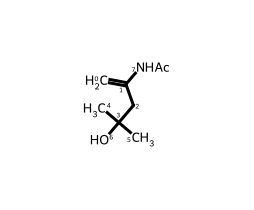 C=C(CC(C)(C)O)NC(C)=O